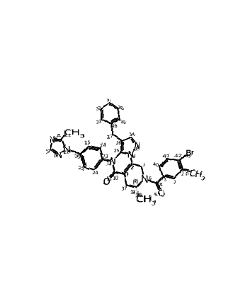 Cc1cc(C(=O)N2Cc3c(c(=O)n(-c4ccc(-n5ncnc5C)cc4)c4c(Cc5ccccc5)cnn34)C[C@H]2C)ccc1Br